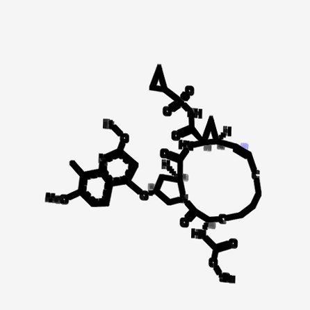 CCOc1cc(O[C@@H]2C[C@H]3C(=O)N[C@]4(C(=O)NS(=O)(=O)C5CC5)C[C@H]4/C=C\CCCCC[C@H](NC(=O)OC(C)(C)C)C(=O)N3C2)c2ccc(OC)c(C)c2n1